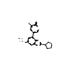 CCS(=O)(=O)Nc1cc(-c2c[nH]c(=O)c(C)c2)c2oc(C3CCCC3)nc2c1